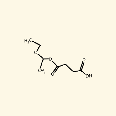 CCOC(C)OC(=O)CCC(=O)O